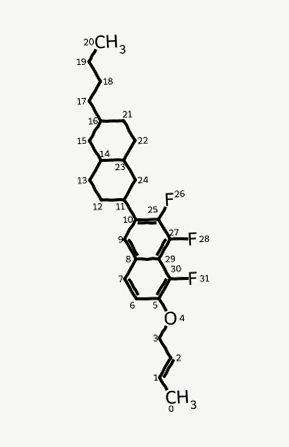 C/C=C/COc1ccc2cc(C3CCC4CC(CCCC)CCC4C3)c(F)c(F)c2c1F